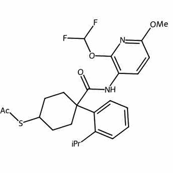 COc1ccc(NC(=O)C2(c3ccccc3C(C)C)CCC(SC(C)=O)CC2)c(OC(F)F)n1